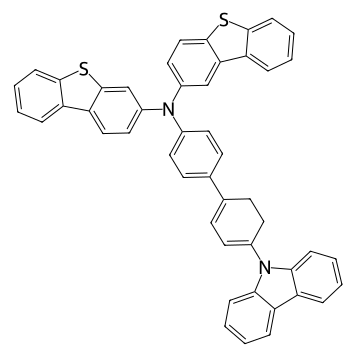 C1=C(c2ccc(N(c3ccc4c(c3)sc3ccccc34)c3ccc4sc5ccccc5c4c3)cc2)CCC(n2c3ccccc3c3ccccc32)=C1